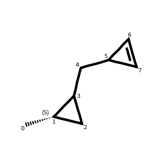 C[C@H]1CC1CC1C=C1